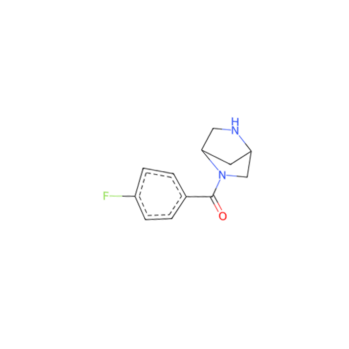 O=C(c1ccc(F)cc1)N1CC2CC1CN2